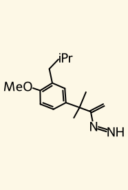 C=C(N=N)C(C)(C)c1ccc(OC)c(CC(C)C)c1